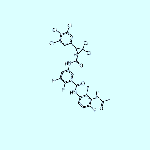 CC(=O)Nc1c(F)ccc(NC(=O)c2cc(NC(=O)[C@H]3C(c4cc(Cl)c(Cl)c(Cl)c4)C3(Cl)Cl)cc(F)c2F)c1F